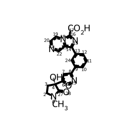 CN1CC[C@@](O)(c2cc(-c3cccc(-c4nc(C(=O)O)n5ccncc45)c3)no2)C1=O